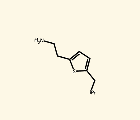 CC(C)Cc1ccc(CCN)s1